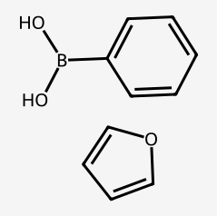 OB(O)c1ccccc1.c1ccoc1